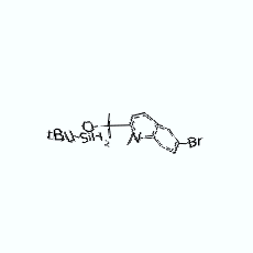 CC(C)(C)[SiH2]OC(C)(C)c1ccc2cc(Br)ccc2n1